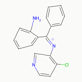 Nc1ccccc1/C(=N\c1cnccc1Cl)c1ccccc1